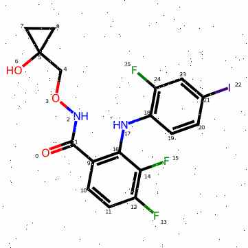 O=C(NOCC1(O)CC1)c1ccc(F)c(F)c1Nc1ccc(I)cc1F